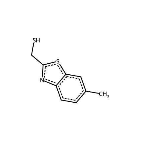 Cc1ccc2nc(CS)sc2c1